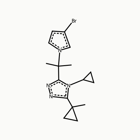 CC1(c2nnc(C(C)(C)n3ccc(Br)c3)n2C2CC2)CC1